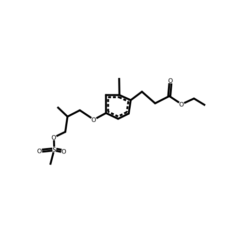 CCOC(=O)CCc1ccc(OCC(C)COS(C)(=O)=O)cc1C